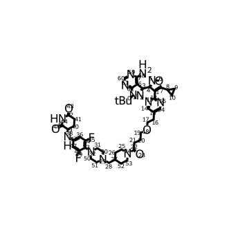 CC(C)(C)n1nc(-c2noc(C3CC3)c2-c2ncc(CCOCCCC(=O)N3CCC(CN4CCN(c5c(F)cc(NC6CCC(=O)NC6=O)cc5F)CC4)CC3)cn2)c2c(N)ncnc21